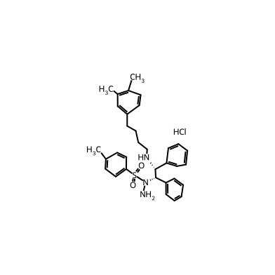 Cc1ccc(S(=O)(=O)N(N)[C@@H](c2ccccc2)[C@H](NCCCCc2ccc(C)c(C)c2)c2ccccc2)cc1.Cl